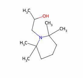 CC(O)CN1C(C)(C)CCCC1(C)C